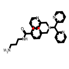 NCCCNC(=O)c1ccc(CN(Cc2ccccn2)C(c2ccccn2)c2ccccn2)nc1